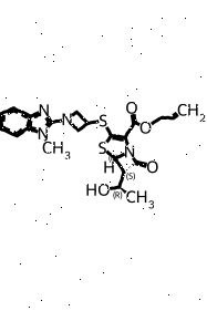 C=CCOC(=O)C1=C(SC2CN(c3nc4ccccc4n3C)C2)S[C@@H]2[C@@H]([C@@H](C)O)C(=O)N12